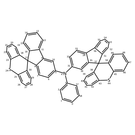 c1ccc(N(c2ccc3c(c2)-c2ccccc2C32c3ccccc3Sc3ccccc32)c2ccc3c(c2)C2(c4ccccc4Sc4ccccc42)c2ccccc2-3)cc1